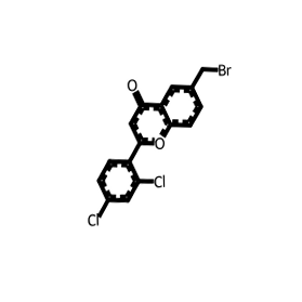 O=c1cc(-c2ccc(Cl)cc2Cl)oc2ccc(CBr)cc12